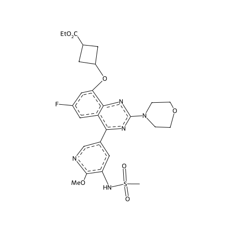 CCOC(=O)C1CC(Oc2cc(F)cc3c(-c4cnc(OC)c(NS(C)(=O)=O)c4)nc(N4CCOCC4)nc23)C1